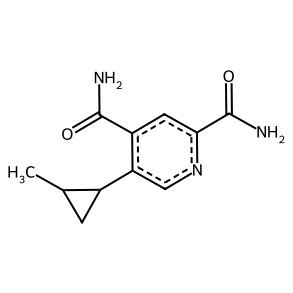 CC1CC1c1cnc(C(N)=O)cc1C(N)=O